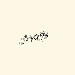 Cc1cc(C(=O)NC2CN(C)NC2=O)ccc1-c1noc(C(F)(F)F)n1